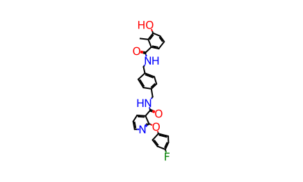 Cc1c(O)cccc1C(=O)NCc1ccc(CNC(=O)c2cccnc2Oc2ccc(F)cc2)cc1